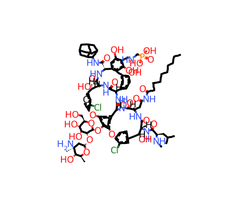 CCCCCCCCCC(=O)NC(=O)C[C@@H]1NC(=O)[C@H](NC(=O)[C@@H](CC(C)C)NC)[C@H](O)c2ccc(c(Cl)c2)Oc2cc3cc(c2O[C@@H]2O[C@H](CO)[C@@H](O)[C@H](O)[C@H]2O[C@H]2C[C@](C)(N)[C@H](O)[C@H](C)O2)Oc2ccc(cc2Cl)[C@@H](O)[C@@H]2NC(=O)[C@H](NC(=O)[C@@H]3NC1=O)c1ccc(O)c(c1)-c1c(cc(O)c(CNCP(=O)(O)O)c1O)[C@@H](C(=O)NC1C3CC4CC(C3)CC1C4)NC2=O